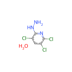 NNc1nc(Cl)c(Cl)cc1Cl.O